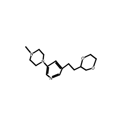 CN1CCN(c2cncc(CCC3COCCO3)c2)CC1